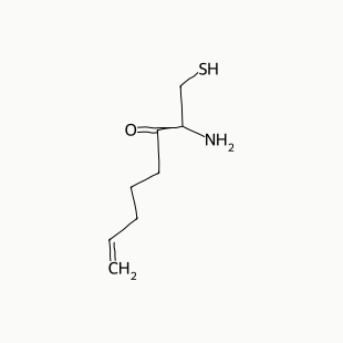 C=CCCCC(=O)C(N)CS